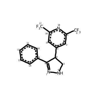 FC(F)(F)c1cc(C2CNN=C2c2ccccc2)cc(C(F)(F)F)n1